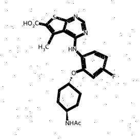 CC(=O)N[C@H]1CC[C@H](Oc2cc(F)ccc2Nc2ncnc3sc(C(=O)O)c(C)c23)CC1